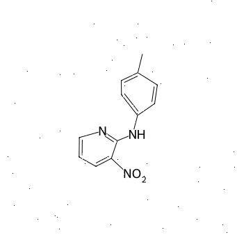 Cc1ccc(Nc2ncccc2[N+](=O)[O-])cc1